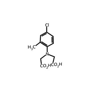 Cc1cc(Cl)ccc1N(CC(=O)O)CC(=O)O